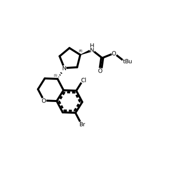 CC(C)(C)OC(=O)N[C@@H]1CCN([C@H]2CCOc3cc(Br)cc(Cl)c32)C1